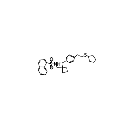 O=S(=O)(NCC1(Cc2ccc(CCSC3CCCC3)cc2)CCC1)c1cccc2ccccc12